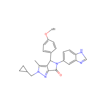 CCCOc1ccc(C2c3c(nn(CC4CC4)c3C)C(=O)N2c2ccc3[nH]cnc3c2)cc1